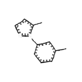 Cc1cccc(-n2nccc2S)c1